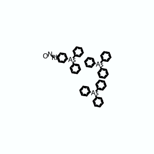 O=[N][Rh].c1ccc([As](c2ccccc2)c2ccccc2)cc1.c1ccc([As](c2ccccc2)c2ccccc2)cc1.c1ccc([As](c2ccccc2)c2ccccc2)cc1